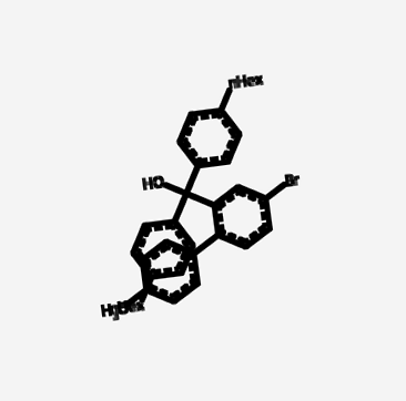 CCCCCCc1ccc(C(O)(c2ccc(CCCCCC)cc2)c2cc(Br)ccc2-c2ccc(C)cc2)cc1